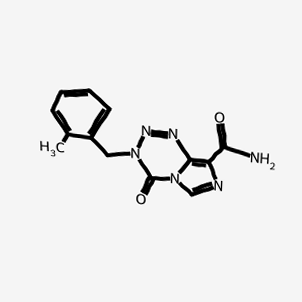 Cc1ccccc1Cn1nnc2c(C(N)=O)ncn2c1=O